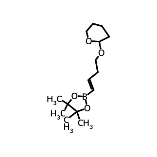 CC1(C)OB(/C=C/CCOC2CCCCO2)OC1(C)C